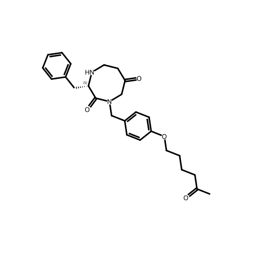 CC(=O)CCCCOc1ccc(CN2CC(=O)CCN[C@@H](Cc3ccccc3)C2=O)cc1